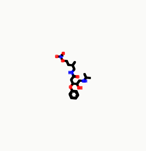 CC(CCO[N+](=O)[O-])CNC(=O)CC(Oc1ccccc1)C(O)CNC(C)C